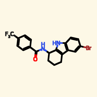 O=C(NC1CCCc2c1[nH]c1ccc(Br)cc21)c1ccc(C(F)(F)F)cc1